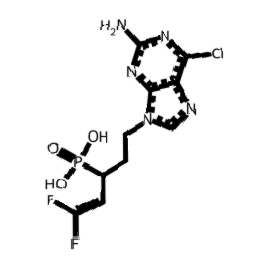 Nc1nc(Cl)c2ncn(CCC(C=C(F)F)P(=O)(O)O)c2n1